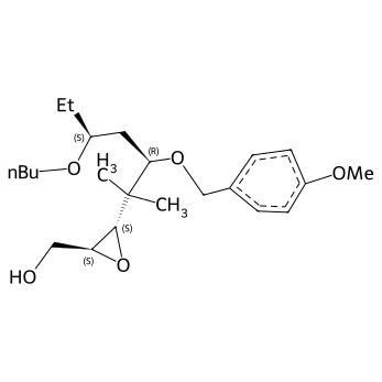 CCCCO[C@@H](CC)C[C@@H](OCc1ccc(OC)cc1)C(C)(C)[C@@H]1O[C@H]1CO